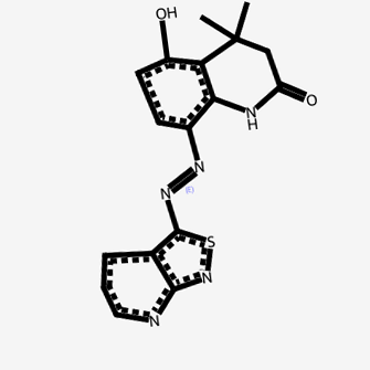 CC1(C)CC(=O)Nc2c(/N=N/c3snc4ncccc34)ccc(O)c21